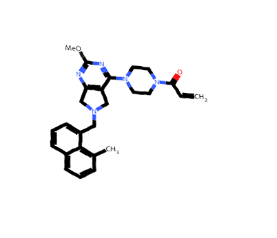 C=CC(=O)N1CCN(c2nc(OC)nc3c2CN(Cc2cccc4cccc(C)c24)C3)CC1